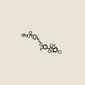 CN(c1ccc(Cl)cc1)C(O)c1ccc(OCCCN2CCN(C(=O)OC(C)(C)C)CC2)c(F)c1